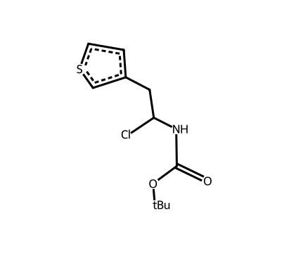 CC(C)(C)OC(=O)NC(Cl)Cc1ccsc1